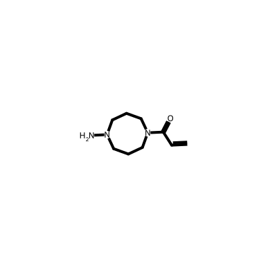 C=CC(=O)N1CCCN(N)CCC1